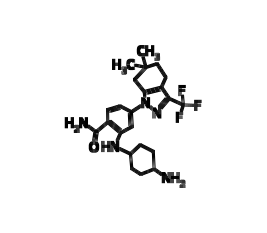 CC1(C)CCc2c(C(F)(F)F)nn(-c3ccc(C(N)=O)c(NC4CCC(N)CC4)c3)c2C1